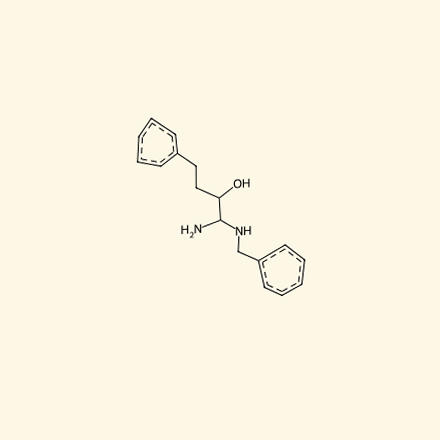 NC(NCc1ccccc1)C(O)CCc1ccccc1